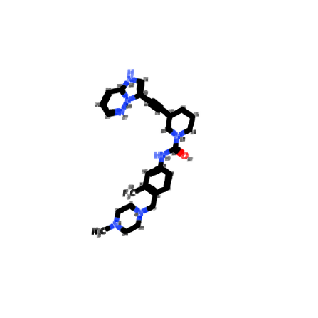 CN1CCN(Cc2ccc(NC(=O)N3CCCC(C#CC4=CNC5C=CC=NN45)C3)cc2C(F)(F)F)CC1